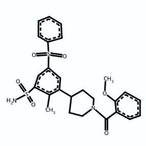 COc1ccccc1C(=O)N1CCC(c2cc(S(=O)(=O)c3ccccc3)cc(S(N)(=O)=O)c2C)CC1